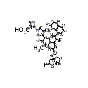 CN(c1nc(OC[C@@]23CCCN2C[C@H](F)C3)nc2c(F)c(-c3cccc4ccc(F)c(F)c34)ncc12)[C@@H]1CCN(C(=O)/C=C/[C@@H]2CCN2C(=O)O)C1